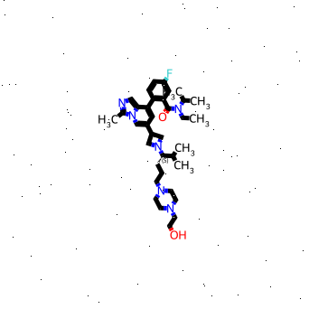 CCN(C(=O)c1cc(F)ccc1-c1cc(C2CN([C@@H](CCCN3CCN(CCO)CC3)C(C)C)C2)cn2c(C)ncc12)C(C)C